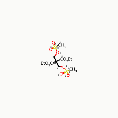 CCOC(=O)C(COS(C)(=O)=O)(COS(C)(=O)=O)C(=O)OCC